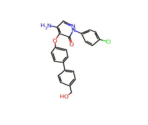 Nc1cnn(-c2ccc(Cl)cc2)c(=O)c1Oc1ccc(-c2ccc(CO)cc2)cc1